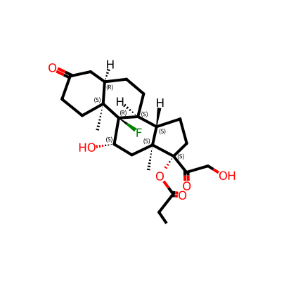 CCC(=O)O[C@@]1(C(=O)CO)CC[C@H]2[C@@H]3CC[C@@H]4CC(=O)CC[C@]4(C)[C@@]3(F)[C@@H](O)C[C@@]21C